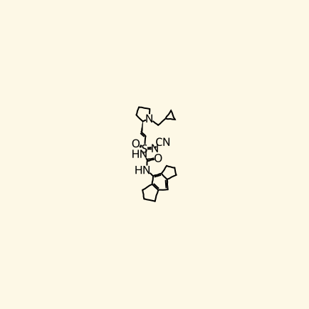 N#CN=S(=O)(/C=C/[C@H]1CCCN1CC1CC1)NC(=O)Nc1c2c(cc3c1CCC3)CCC2